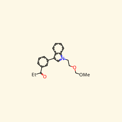 CCC(=O)c1cccc(-c2cn(CCOCOC)c3ccccc23)c1